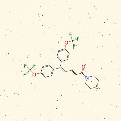 O=C(C=CC=C(c1ccc(OC(F)(F)F)cc1)c1ccc(OC(F)(F)F)cc1)N1CCSCC1